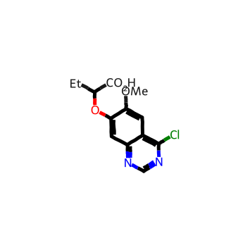 CCC(Oc1cc2ncnc(Cl)c2cc1OC)C(=O)O